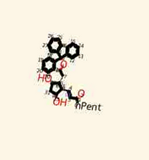 CCCCCC(=O)/C=C/[C@@H]1[C@@H](CCOC(c2ccccc2)(c2ccccc2)c2ccccc2)[C@H](O)C[C@@H]1O